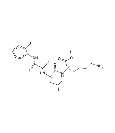 COC(=O)[C@H](CCCCN)NC(=O)[C@H](CC(C)C)NC(=O)C(=O)Nc1ccccc1F